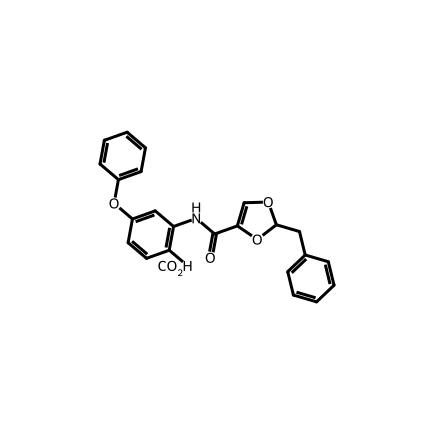 O=C(Nc1cc(Oc2ccccc2)ccc1C(=O)O)C1=COC(Cc2ccccc2)O1